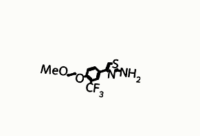 COCCOc1ccc(-c2csc(N)n2)cc1C(F)(F)F